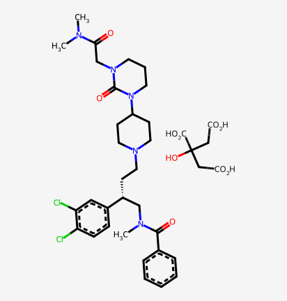 CN(C)C(=O)CN1CCCN(C2CCN(CC[C@H](CN(C)C(=O)c3ccccc3)c3ccc(Cl)c(Cl)c3)CC2)C1=O.O=C(O)CC(O)(CC(=O)O)C(=O)O